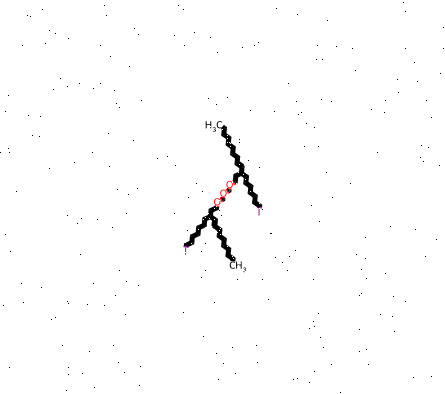 CCCCCCCCC=CC(CCCCCCCI)CCOCOCOCCC(C=CCCCCCCCC)CCCCCCCI